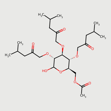 CC(=O)OC[C@H]1OC(O)[C@H](OCC(=O)CC(C)C)[C@@H](OCC(=O)CC(C)C)[C@@H]1OCC(=O)CC(C)C